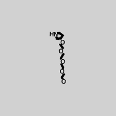 COCCOCCOCCOCCO[C@H]1CCNC1